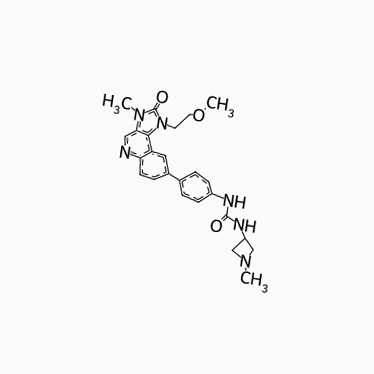 COCCn1c(=O)n(C)c2cnc3ccc(-c4ccc(NC(=O)NC5CN(C)C5)cc4)cc3c21